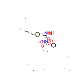 CCCCCCCCc1ccc(CCC(N)(CO)COP(=O)(N[C@@H](C)C(=O)OCC)Oc2ccccc2)cc1